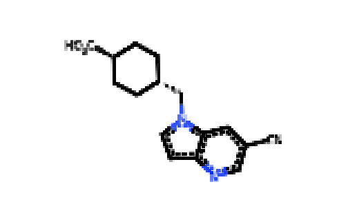 N#Cc1cnc2ccn(C[C@H]3CC[C@H](C(=O)O)CC3)c2c1